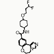 O=C(NC1CCC(OCCC(F)F)CC1)c1ccc2c(c1)-c1cncn1CCO2